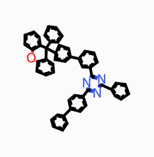 c1ccc(-c2ccc(-c3nc(-c4ccccc4)nc(-c4cccc(-c5ccc(C6(c7ccccc7)c7ccccc7Oc7ccccc76)cc5)c4)n3)cc2)cc1